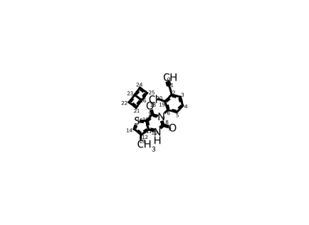 C#Cc1cccc(-n2c(=O)[nH]c3c(C)csc3c2=O)c1Cl.c1cc2ccc1-2